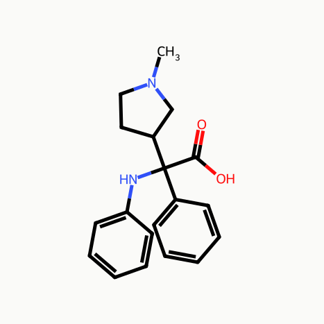 CN1CCC(C(Nc2ccccc2)(C(=O)O)c2ccccc2)C1